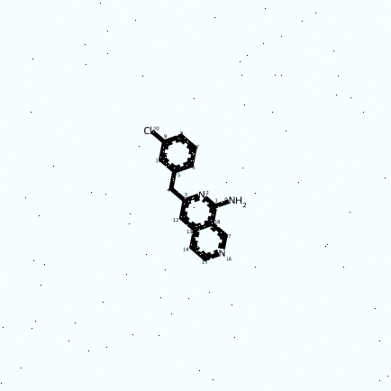 Nc1nc(Cc2cccc(Cl)c2)cc2ccncc12